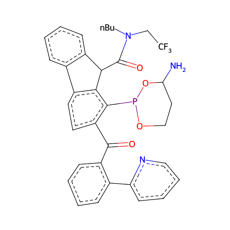 CCCCN(CC(F)(F)F)C(=O)C1c2ccccc2-c2ccc(C(=O)c3ccccc3-c3ccccn3)c(P3OCCC(N)O3)c21